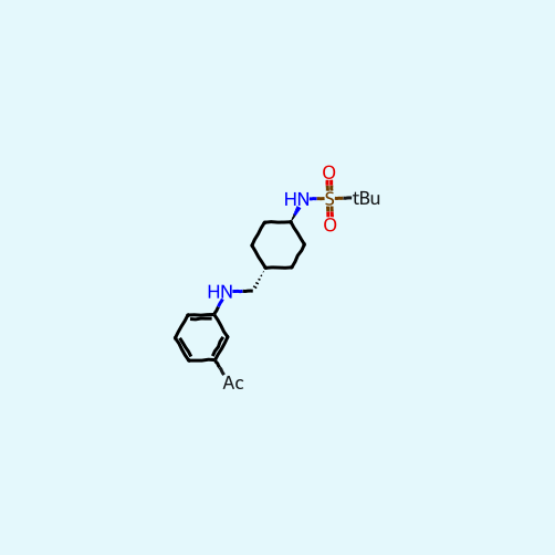 CC(=O)c1cccc(NC[C@H]2CC[C@H](NS(=O)(=O)C(C)(C)C)CC2)c1